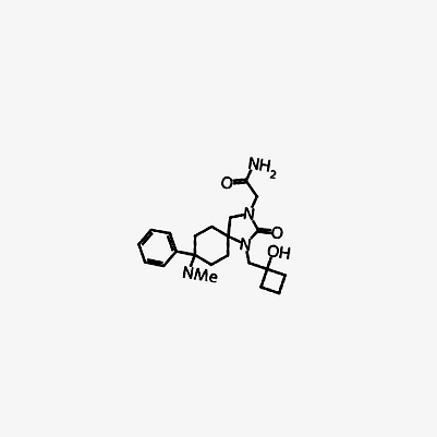 CNC1(c2ccccc2)CCC2(CC1)CN(CC(N)=O)C(=O)N2CC1(O)CCC1